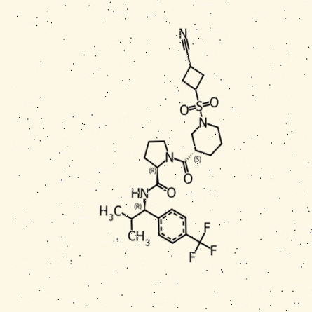 CC(C)[C@@H](NC(=O)[C@H]1CCCN1C(=O)[C@H]1CCCN(S(=O)(=O)C2CC(C#N)C2)C1)c1ccc(C(F)(F)F)cc1